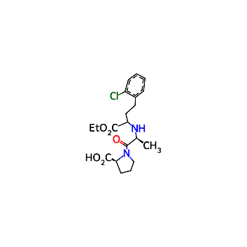 CCOC(=O)C(CCc1ccccc1Cl)N[C@@H](C)C(=O)N1CCC[C@H]1C(=O)O